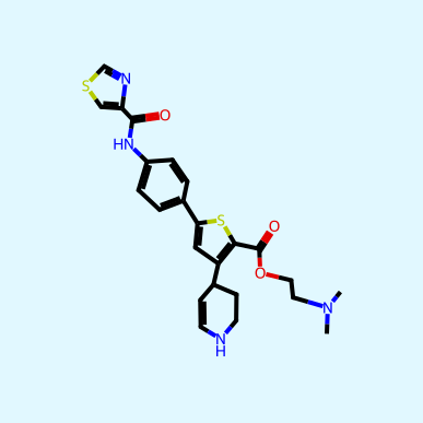 CN(C)CCOC(=O)c1sc(-c2ccc(NC(=O)c3cscn3)cc2)cc1C1C=CNCC1